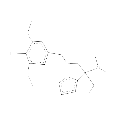 CCC(COCc1cc(OC)c(O)c(OC)c1)(c1cccs1)N(C)C